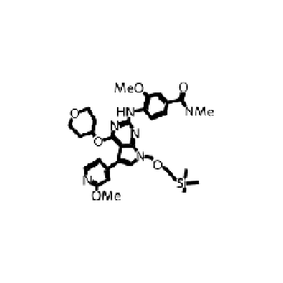 CNC(=O)c1ccc(Nc2nc(OC3CCOCC3)c3c(-c4ccnc(OC)c4)cn(COCC[Si](C)(C)C)c3n2)c(OC)c1